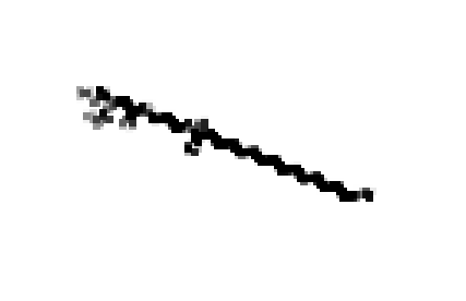 CC(C)CCCCCCCCCCCCCCC(=O)NCCCOC(=O)CN(C)C